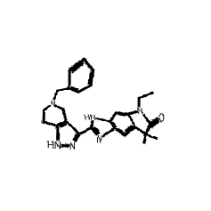 CCN1C(=O)C(C)(C)c2cc3nc(-c4n[nH]c5c4CN(Cc4ccccc4)CC5)[nH]c3cc21